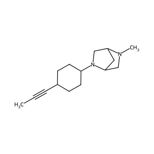 CC#CC1CCC(N2CC3CC2CN3C)CC1